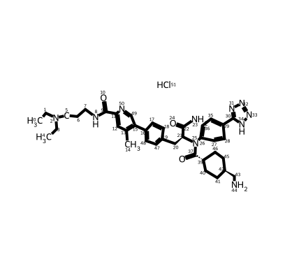 CCN(CC)CCCNC(=O)c1cc(C)c(-c2ccc(C[C@@H](C(N)=O)N(c3ccc(-c4nnn[nH]4)cc3)C(=O)[C@H]3CC[C@H](CN)CC3)cc2)cn1.Cl